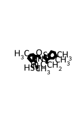 C=C(C)c1c(NC(=O)c2cc(C)ccc2CN(C)S)sc2c1CC(C)(C)CC2